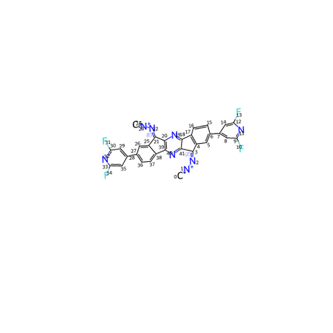 [C-]#[N+]/N=c1/c2cc(-c3cc(F)nc(F)c3)ccc2c2nc3/c(=N/[N+]#[C-])c4cc(-c5cc(F)nc(F)c5)ccc4c3nc12